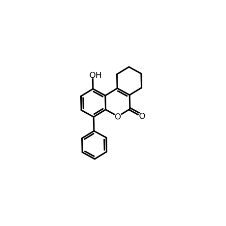 O=c1oc2c(-c3ccccc3)ccc(O)c2c2c1CCCC2